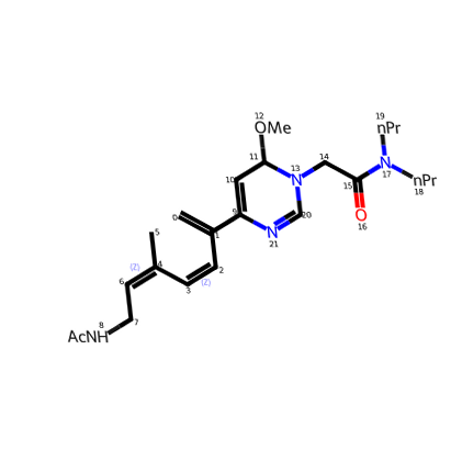 C=C(/C=C\C(C)=C/CNC(C)=O)C1=CC(OC)N(CC(=O)N(CCC)CCC)C=N1